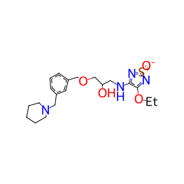 CCOc1n[s+]([O-])nc1NCC(O)COCc1cccc(CN2CCCCC2)c1